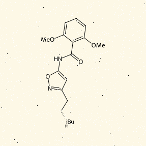 CC[C@@H](C)CCc1cc(NC(=O)c2c(OC)cccc2OC)on1